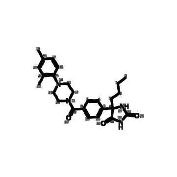 CCCCC1(c2ccc(C(=O)N3CCN(c4ccc(C)cc4C)CC3)cc2)NC(=O)NC1=O